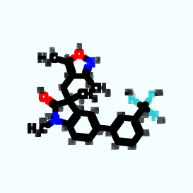 Cc1noc(C)c1CC1(C)C(=O)N(C)c2ccc(-c3cccc(C(F)(F)F)c3)cc21